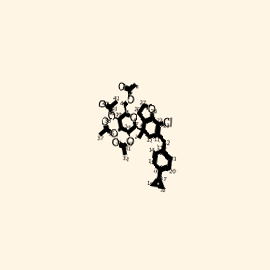 CC(=O)OC[C@H]1O[C@@H](C2(C)CC(Cc3ccc(C4CC4)cc3)=C(Cl)C3=C2CCO3)[C@H](OC(C)=O)[C@@H](OC(C)=O)[C@@H]1OC(C)=O